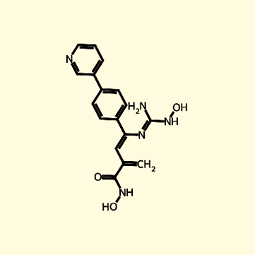 C=C(/C=C(\N=C(/N)NO)c1ccc(-c2cccnc2)cc1)C(=O)NO